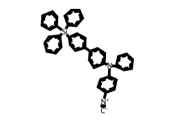 [C-]#[N+]c1ccc(N(c2ccccc2)c2ccc(-c3ccc([Si](c4ccccc4)(c4ccccc4)c4ccccc4)cc3)cc2)cc1